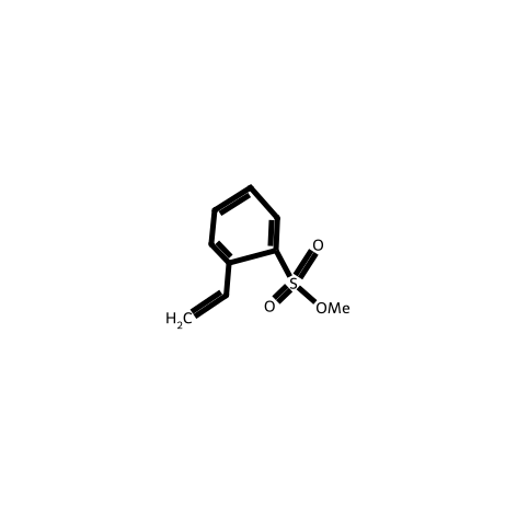 C=Cc1ccccc1S(=O)(=O)OC